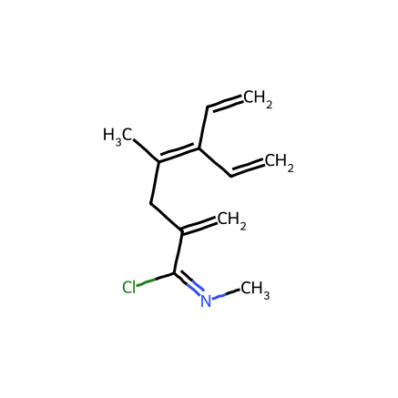 C=CC(C=C)=C(C)CC(=C)/C(Cl)=N\C